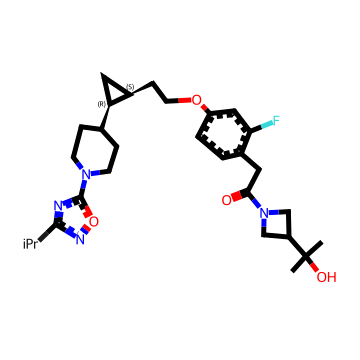 CC(C)c1noc(N2CCC([C@H]3C[C@H]3CCOc3ccc(CC(=O)N4CC(C(C)(C)O)C4)c(F)c3)CC2)n1